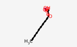 CC#CC#CC#CC#CC#CC#CC#CC#CC(=O)OCC1COP(=O)(O)O1